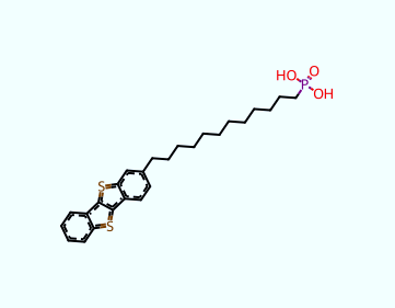 O=P(O)(O)CCCCCCCCCCCCc1ccc2c(c1)sc1c3ccccc3sc21